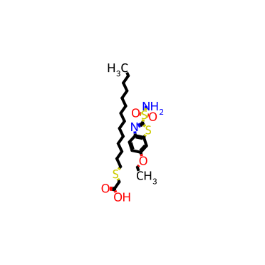 CCCCCCCCCCCCCCSCC(=O)O.CCOc1ccc2nc(S(N)(=O)=O)sc2c1